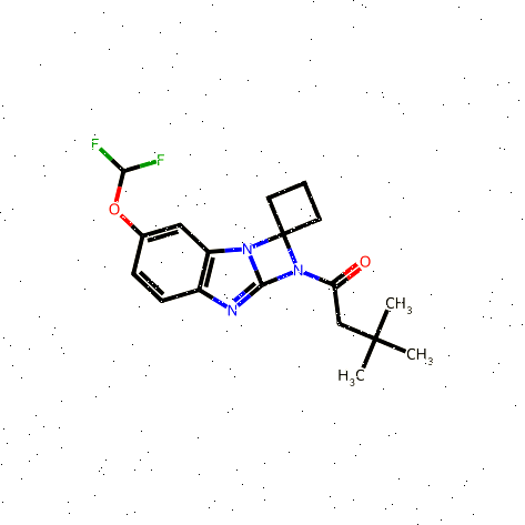 CC(C)(C)CC(=O)N1c2nc3ccc(OC(F)F)cc3n2C12CCC2